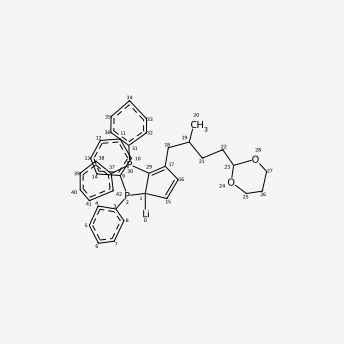 [Li][C]1(P(c2ccccc2)c2ccccc2)C=CC(CC(C)CCC2OCCCO2)=C1P(c1ccccc1)c1ccccc1